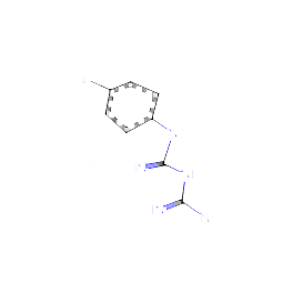 Cl.N=C(N)NC(=N)Nc1ccc(Br)cc1